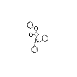 O=C1C(Oc2ccccc2)CC1N(Cc1ccccc1)Cc1ccccc1